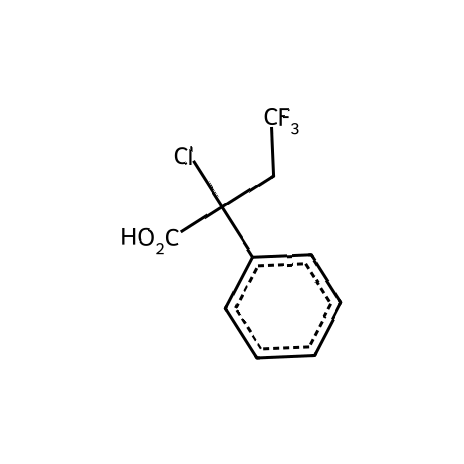 O=C(O)C(Cl)(CC(F)(F)F)c1ccccc1